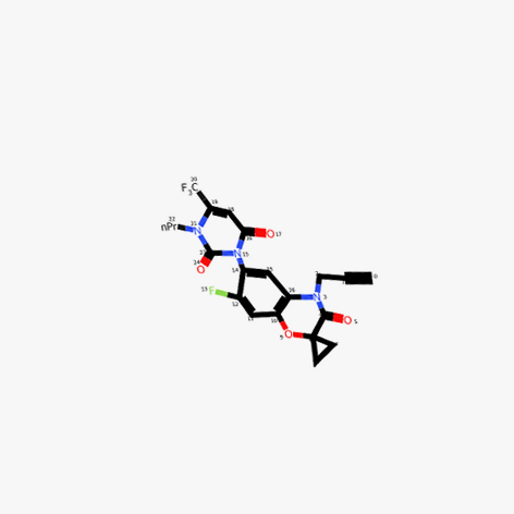 C#CCN1C(=O)C2(CC2)Oc2cc(F)c(-n3c(=O)cc(C(F)(F)F)n(CCC)c3=O)cc21